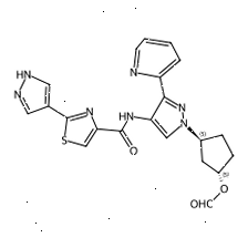 O=CO[C@H]1CC[C@H](n2cc(NC(=O)c3csc(-c4cn[nH]c4)n3)c(-c3ccccn3)n2)C1